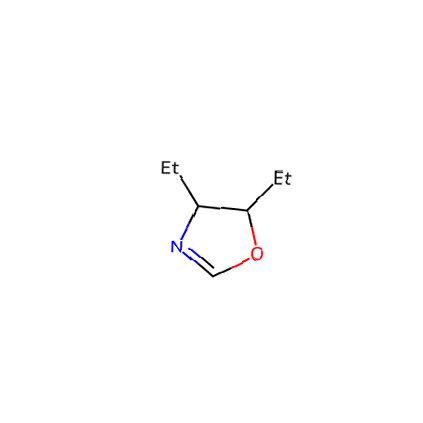 CCC1N=COC1CC